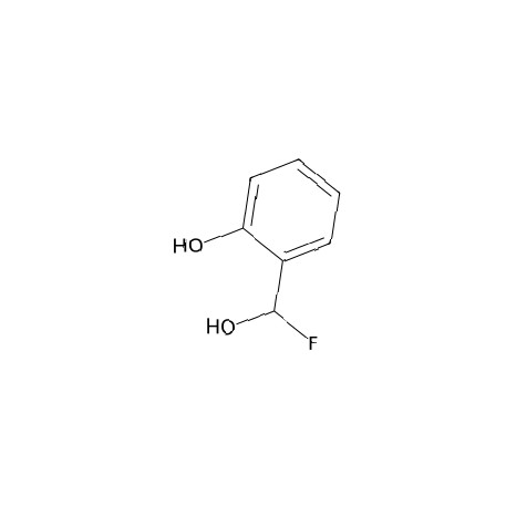 Oc1ccccc1C(O)F